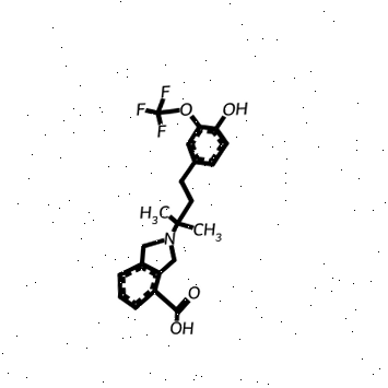 CC(C)(CCc1ccc(O)c(OC(F)(F)F)c1)N1Cc2cccc(C(=O)O)c2C1